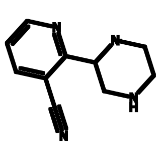 N#Cc1cccnc1C1CNCC[N]1